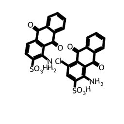 Nc1c(S(=O)(=O)O)cc(Cl)c2c1C(=O)c1ccccc1C2=O.Nc1c(S(=O)(=O)O)ccc2c1C(=O)c1ccccc1C2=O